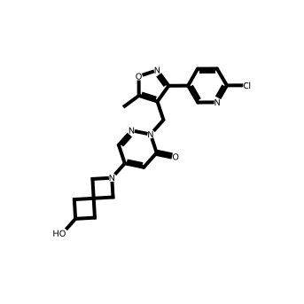 Cc1onc(-c2ccc(Cl)nc2)c1Cn1ncc(N2CC3(CC(O)C3)C2)cc1=O